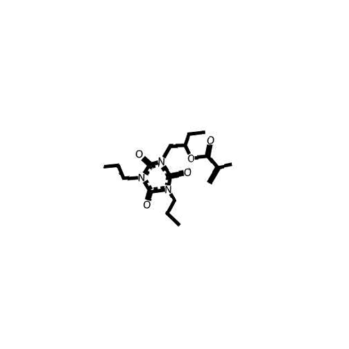 C=C(C)C(=O)OC(CC)Cn1c(=O)n(CCC)c(=O)n(CCC)c1=O